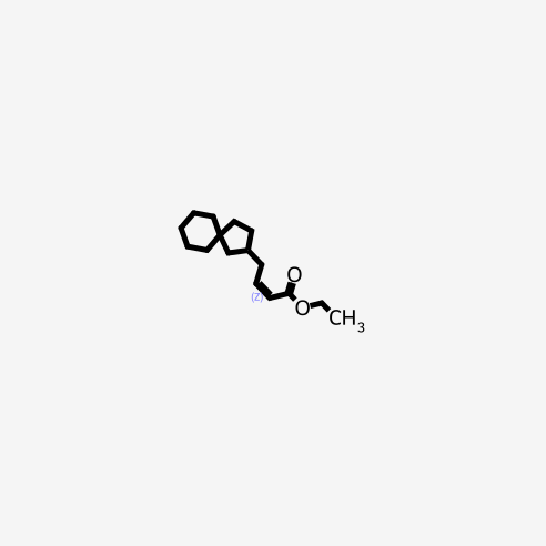 CCOC(=O)/C=C\CC1CCC2(CCCCC2)C1